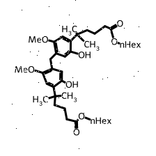 CCCCCCOC(=O)CCCC(C)(C)c1cc(OC)c(Cc2cc(O)c(C(C)(C)CCCC(=O)OCCCCCC)cc2OC)cc1O